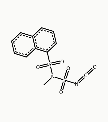 CN(S(=O)(=O)N=C=O)S(=O)(=O)c1cccc2ccccc12